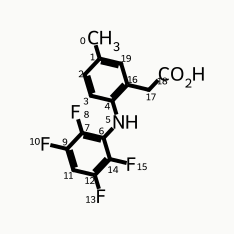 Cc1ccc(Nc2c(F)c(F)cc(F)c2F)c(CC(=O)O)c1